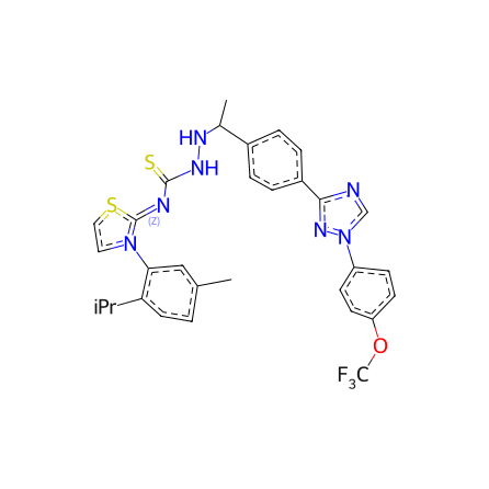 Cc1ccc(C(C)C)c(-n2ccs/c2=N\C(=S)NNC(C)c2ccc(-c3ncn(-c4ccc(OC(F)(F)F)cc4)n3)cc2)c1